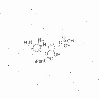 CCCCCC(=O)O[C@@H]1[C@H](O)[C@@H](COP(=O)(O)O)O[C@H]1n1cnc2c(N)ncnc21